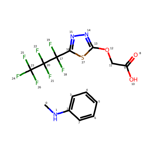 CNc1ccccc1.O=C(O)COc1nnc(C(F)(F)C(F)(F)C(F)(F)F)s1